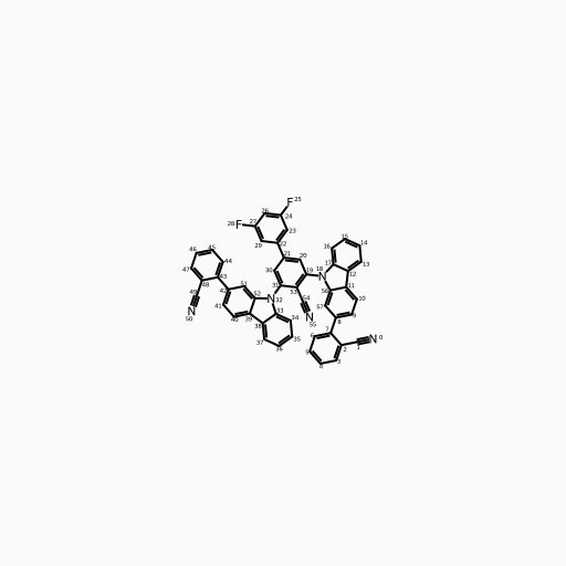 N#Cc1ccccc1-c1ccc2c3ccccc3n(-c3cc(-c4cc(F)cc(F)c4)cc(-n4c5ccccc5c5ccc(-c6ccccc6C#N)cc54)c3C#N)c2c1